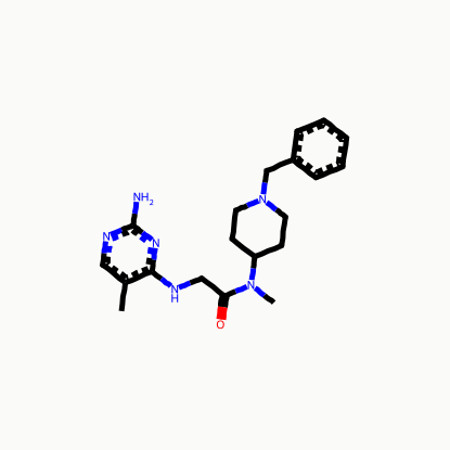 Cc1cnc(N)nc1NCC(=O)N(C)C1CCN(Cc2ccccc2)CC1